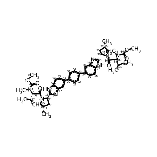 COC(=O)N(C)[C@H](C(=O)N1C[C@@H](C)C[C@H]1c1nc2cc(-c3ccc(-c4ccc5[nH]c([C@@H]6C[C@H](C)CN6C(=O)[C@H](C(C)C)N(C)C(=O)OC)nc5c4)cc3)ccc2[nH]1)C(C)C